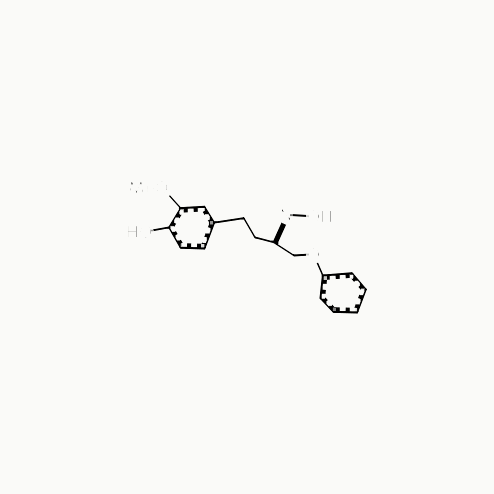 COc1cc(CCC(COc2ccccc2)=NO)ccc1O